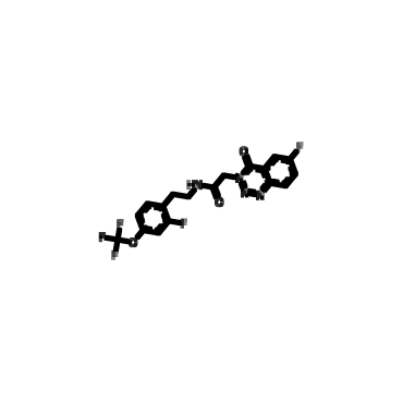 O=C(Cn1nnc2ccc(F)cc2c1=O)NCCc1ccc(OC(F)(F)F)cc1F